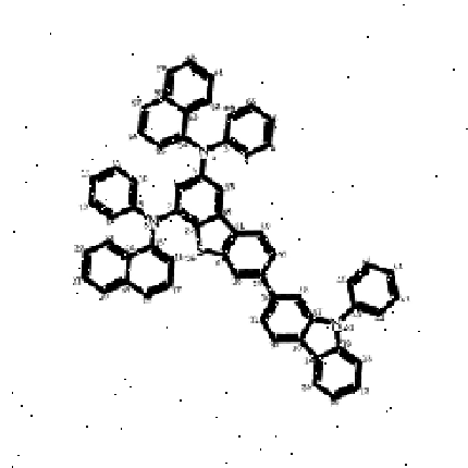 c1ccc(N(c2cc(N(c3ccccc3)c3cccc4ccccc34)c3sc4cc(-c5ccc6c7ccccc7n(-c7ccccc7)c6c5)ccc4c3c2)c2cccc3ccccc23)cc1